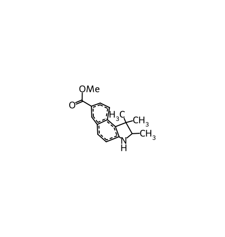 COC(=O)c1ccc2c3c(ccc2c1)NC(C)C3(C)C